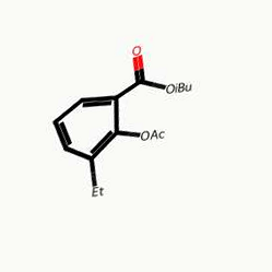 CCc1cccc(C(=O)OCC(C)C)c1OC(C)=O